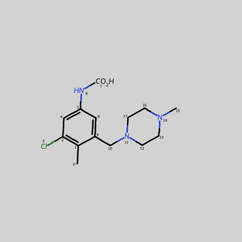 Cc1c(Cl)cc(NC(=O)O)cc1CN1CCN(C)CC1